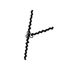 CCCCCCCCCCCCCOC(OCCCCCCCCCCCCC)OCCCCCCCCCCCCC